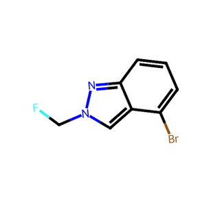 FCn1cc2c(Br)cccc2n1